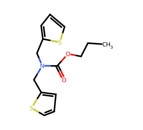 CCCOC(=O)N(Cc1cccs1)Cc1cccs1